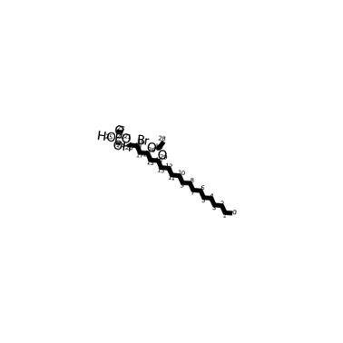 CCCCCCCCCCCCCCCCC(CC(Br)COP(=O)(O)O)OC(C)=O